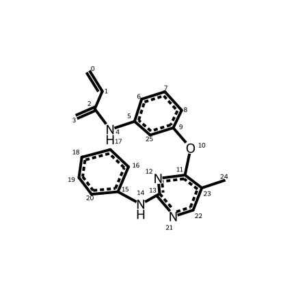 C=CC(=C)Nc1cccc(Oc2nc(Nc3ccccc3)ncc2C)c1